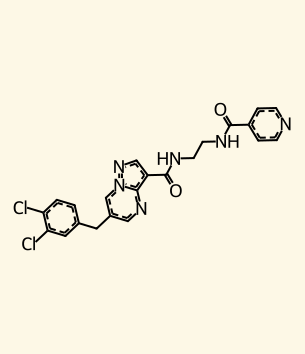 O=C(NCCNC(=O)c1cnn2cc(Cc3ccc(Cl)c(Cl)c3)cnc12)c1ccncc1